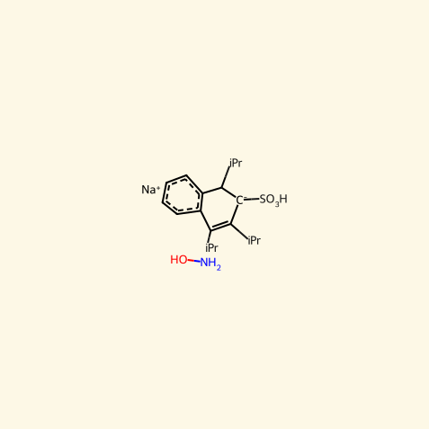 CC(C)C1=C(C(C)C)[C-](S(=O)(=O)O)C(C(C)C)c2ccccc21.NO.[Na+]